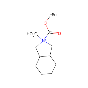 CC(C)(C)OC(=O)[N+]1(C(=O)O)CC2CCCCC2C1